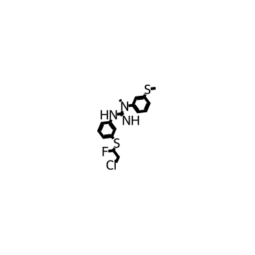 CSc1cccc(N(C)C(=N)Nc2cccc(SC(F)CCl)c2)c1